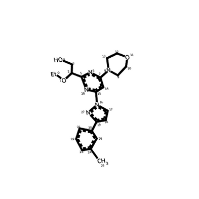 CCOC(CO)c1nc(N2CCOCC2)cc(-n2ccc(-c3cccc(C)c3)n2)n1